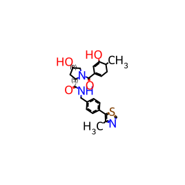 Cc1ncsc1-c1ccc(CNC(=O)[C@@H]2C[C@@H](O)CN2C(=O)C2=CCC(C)C(O)=C2)cc1